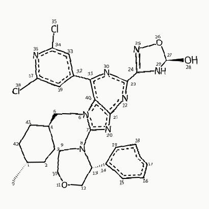 C[C@H]1CC[C@H](Cn2c(N3CCOC[C@H]3c3ccccc3)nc3nc(C4=NO[C@@H](O)N4)nc(-c4cc(Cl)nc(Cl)c4)c32)CC1